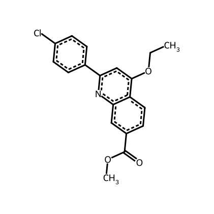 CCOc1cc(-c2ccc(Cl)cc2)nc2cc(C(=O)OC)ccc12